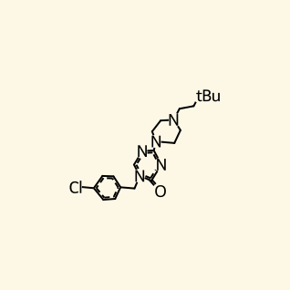 CC(C)(C)CCN1CCN(c2ncn(Cc3ccc(Cl)cc3)c(=O)n2)CC1